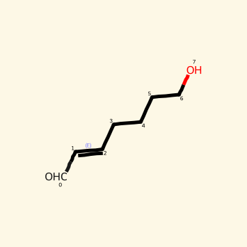 O=C/C=C/CCCCO